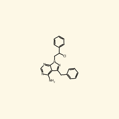 Nc1ncnc2c1c(Cc1ccccc1)nn2CC(Cl)c1ccccc1